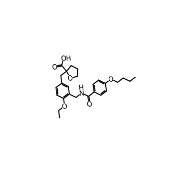 CCCCOc1ccc(C(=O)NCc2cc(CC3(C(=O)O)CCCO3)ccc2OCC)cc1